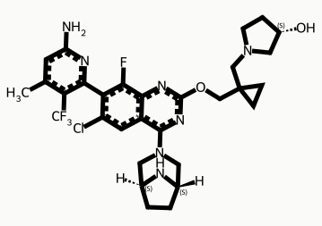 Cc1cc(N)nc(-c2c(Cl)cc3c(N4C[C@@H]5CC[C@@H](C4)N5)nc(OCC4(CN5CC[C@H](O)C5)CC4)nc3c2F)c1C(F)(F)F